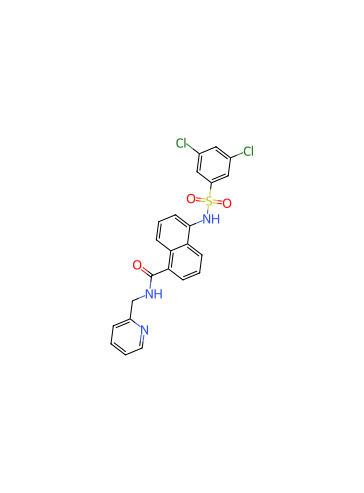 O=C(NCc1ccccn1)c1cccc2c(NS(=O)(=O)c3cc(Cl)cc(Cl)c3)cccc12